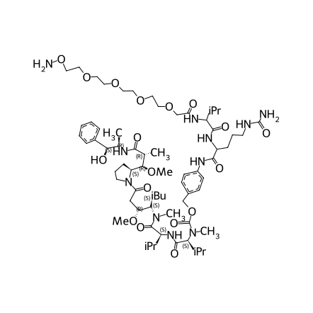 CC[C@H](C)[C@@H]([C@@H](CC(=O)N1CCC[C@H]1[C@H](OC)[C@@H](C)C(=O)N[C@H](C)[C@@H](O)c1ccccc1)OC)N(C)C(=O)[C@@H](NC(=O)[C@H](C(C)C)N(C)C(=O)OCc1ccc(NC(=O)C(CCCNC(N)=O)NC(=O)C(NC(=O)COCCOCCOCCOCCON)C(C)C)cc1)C(C)C